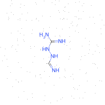 N=[C]NNC(=N)N